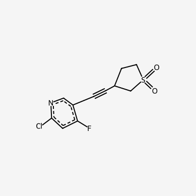 O=S1(=O)CCC(C#Cc2cnc(Cl)cc2F)C1